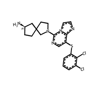 N[C@@H]1CCC2(CCN(c3ncc(Sc4cccc(Cl)c4Cl)c4nccn34)C2)C1